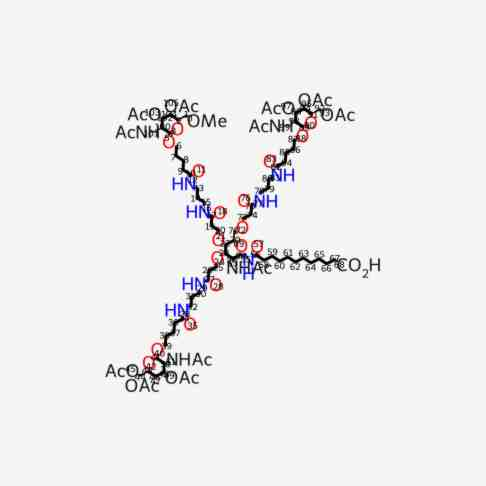 COC[C@H]1O[C@@H](OCCCCC(=O)NCCCNC(=O)CCO[C@H]2[C@H](OCCC(=O)NCCCNC(=O)CCCCO[C@@H]3O[C@H](COC(C)=O)[C@H](OC(C)=O)[C@H](OC(C)=O)[C@H]3NC(C)=O)[C@@H](NC(C)=O)[C@H](NC(=O)CCCCCCCCCCC(=O)O)O[C@@H]2COCCC(=O)NCCCNC(=O)CCCCO[C@@H]2O[C@H](COC(C)=O)[C@H](OC(C)=O)[C@H](OC(C)=O)[C@H]2NC(C)=O)[C@H](NC(C)=O)[C@@H](OC(C)=O)[C@H]1OC(C)=O